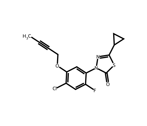 CC#CCOc1cc(-n2nc(C3CC3)sc2=O)c(F)cc1Cl